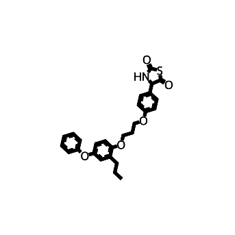 CCCc1cc(Oc2ccccc2)ccc1OCCCOc1ccc(C2NC(=O)SC2=O)cc1